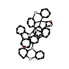 c1ccc2c(c1)Oc1ccccc1N2c1ccc2c(c1)c1ccccc1n2-c1cccc2c1C1(c3ccccc3O2)c2cccnc2-c2ncc(-n3c4ccccc4c4ccccc43)cc21